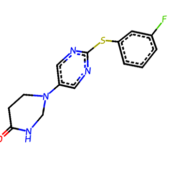 O=C1CCN(c2cnc(Sc3cccc(F)c3)nc2)CN1